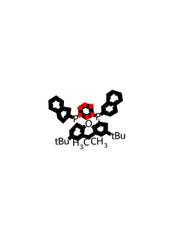 CC(C)(C)c1cc([P@@](c2ccccc2)c2ccc3ccccc3c2)c2c(c1)C(C)(C)c1cc(C(C)(C)C)cc([P@@](c3ccccc3)c3ccc4ccccc4c3)c1O2